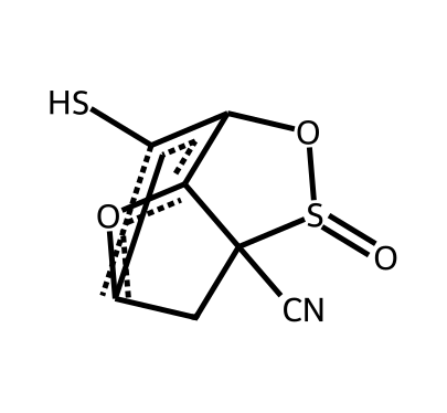 N#CC12Cc3oc1c(c3S)OS2=O